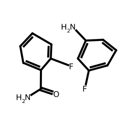 NC(=O)c1ccccc1F.Nc1cccc(F)c1